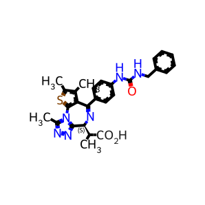 Cc1sc2c(c1C)C(c1ccc(NC(=O)NCc3ccccc3)cc1)=N[C@@H](C(C)C(=O)O)c1nnc(C)n1-2